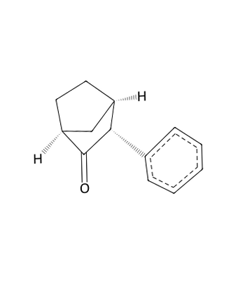 O=C1[C@H]2CC[C@H](C2)[C@@H]1c1ccccc1